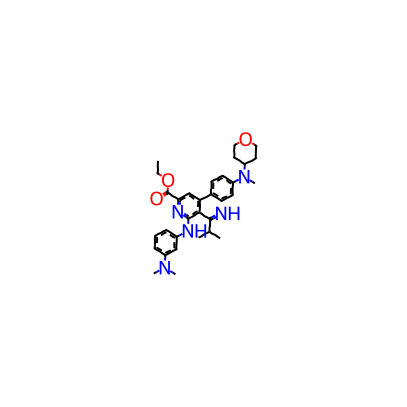 CCOC(=O)c1cc(-c2ccc(N(C)C3CCOCC3)cc2)c(C(=N)C(C)C)c(Nc2cccc(N(C)C)c2)n1